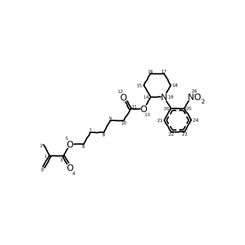 C=C(C)C(=O)OCCCCCC(=O)OC1CCCCN1c1ccccc1[N+](=O)[O-]